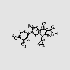 COc1ccc(-c2cc3c(cc2F)c(=O)c2c(=O)[nH]sc2n3C2CC2)cc1OC